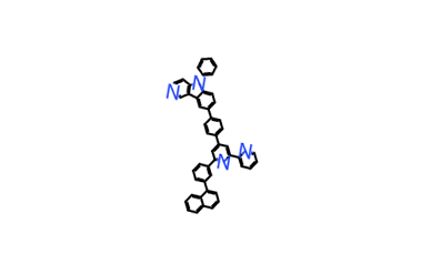 c1ccc(-n2c3ccncc3c3cc(-c4ccc(-c5cc(-c6cccc(-c7cccc8ccccc78)c6)nc(-c6ccccn6)c5)cc4)ccc32)cc1